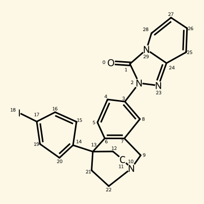 O=c1n(-c2ccc3c(c2)CN2CCC3(c3ccc(I)cc3)CC2)nc2ccccn12